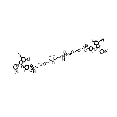 Cc1cc(S(=O)(=O)NCCOCCOCCNC(=O)NCCCCNC(=O)NCCOCCOCCNS(=O)(=O)c2ccc(O[C@H]3c4cc(Cl)cc(C#N)c4C[C@@H]3N3CCC[C@@H](N(C)C)C3)c(C)c2)ccc1O[C@H]1c2cc(Cl)cc(C#N)c2CC1N1CCC[C@@H](N(C)C)C1